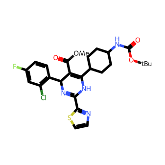 COC(=O)C1=C(C2CCC(NC(=O)OC(C)(C)C)CC2)NC(c2nccs2)=NC1c1ccc(F)cc1Cl